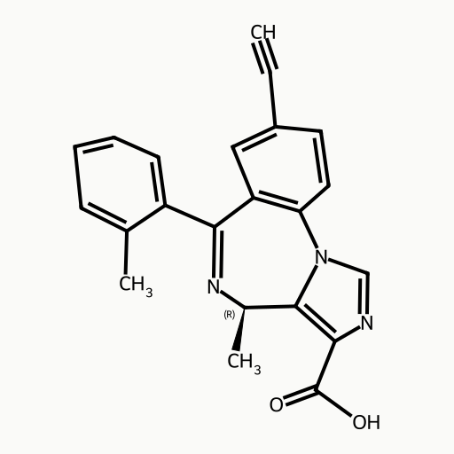 C#Cc1ccc2c(c1)C(c1ccccc1C)=N[C@H](C)c1c(C(=O)O)ncn1-2